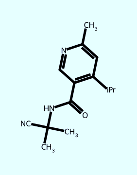 Cc1cc(C(C)C)c(C(=O)NC(C)(C)C#N)cn1